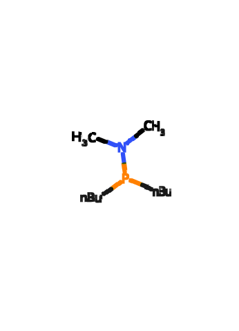 CCCCP(CCCC)N(C)C